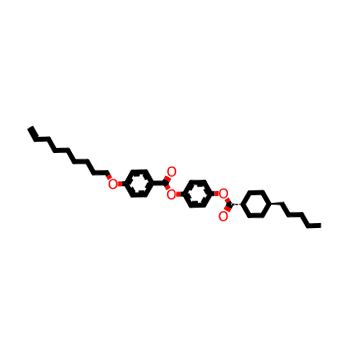 C=CCCCCCCCOc1ccc(C(=O)Oc2ccc(OC(=O)[C@H]3CC[C@H](CCCCC)CC3)cc2)cc1